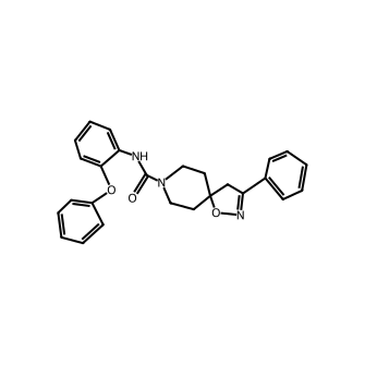 O=C(Nc1ccccc1Oc1ccccc1)N1CCC2(CC1)CC(c1ccccc1)=NO2